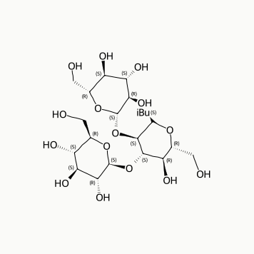 CC[C@H](C)C1O[C@H](CO)[C@@H](O)[C@H](O[C@@H]2O[C@H](CO)[C@@H](O)[C@H](O)[C@H]2O)[C@H]1O[C@@H]1O[C@H](CO)[C@@H](O)[C@H](O)[C@H]1O